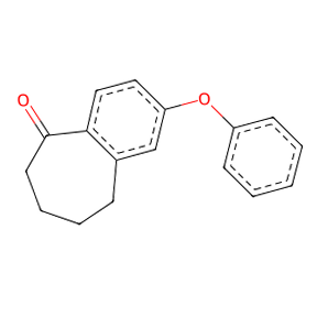 O=C1CCCCc2cc(Oc3ccccc3)ccc21